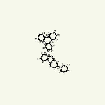 c1ccc(-c2ccc3c(c2)sc2c(-c4ccc5c6ccccc6c6ccccc6c5c4)cccc23)cc1